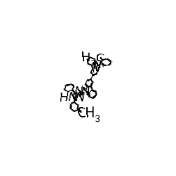 CC1CC=CC(C2N=C(n3c4ccccc4c4cc(C5=CC=[N+]6C(C5)C5=C(C=CCC5)N6C5CCC=CC5C)ccc43)N=C(C3CC=CCC3)N2)C1